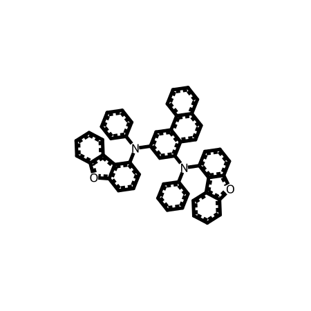 c1ccc(N(c2cc(N(c3ccccc3)c3cccc4oc5ccccc5c34)c3ccc4ccccc4c3c2)c2cccc3oc4ccccc4c23)cc1